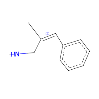 C/C(=C/c1ccccc1)C[NH]